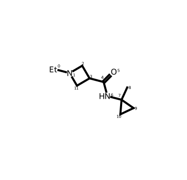 CCN1CC(C(=O)NC2(C)CC2)C1